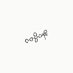 CCCc1nc2ccccc2n1-c1ccc(-c2c3ccccc3c(-c3ccc(-c4ccccc4)cc3)c3ccccc23)cc1